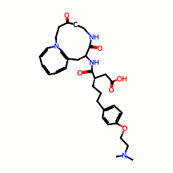 CN(C)CCOc1ccc(CCC[C@H](CC(=O)O)C(=O)NC2Cc3ccccccn(c3)CCC(=O)CCNC2=O)cc1